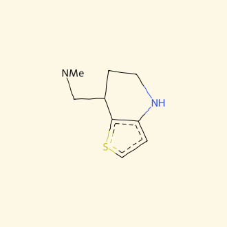 CNCC1CCNc2ccsc21